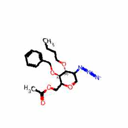 CCCCO[C@@H]1C(N=[N+]=[N-])COC(COC(C)=O)[C@H]1OCc1ccccc1